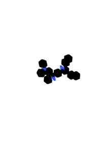 c1ccc(-n2c3ccccc3c3c4c(ccc32)c(-c2ccc(-c3cc(-c5ccc6ccccc6c5)cc(-c5ccc6ccccc6c5)n3)cc2)nc2ccccc24)cc1